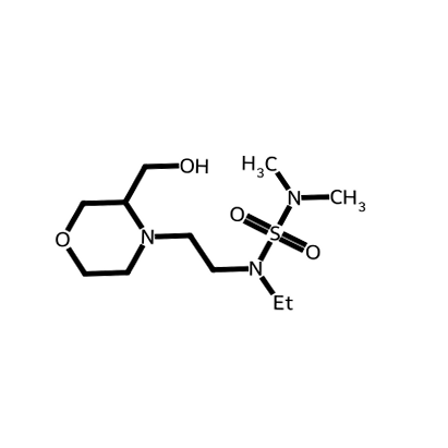 CCN(CCN1CCOCC1CO)S(=O)(=O)N(C)C